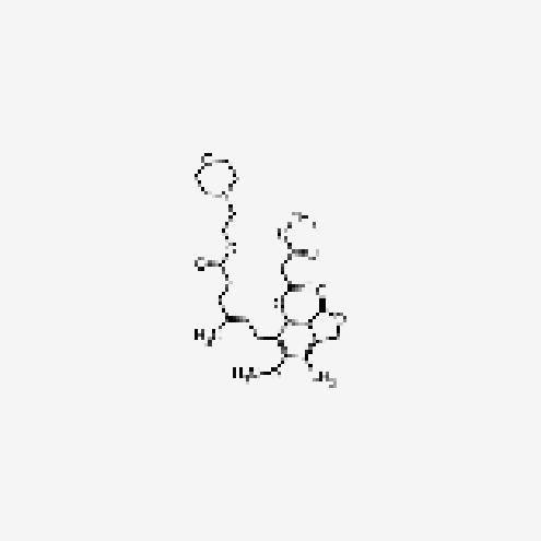 COC(=O)CC(=O)Oc1c(C/C=C(\C)CCC(=O)OCCN2CCOCC2)c(OC)c(C)c2c1C(=O)OC2